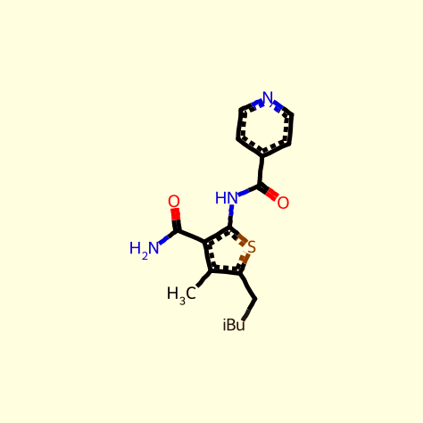 CCC(C)Cc1sc(NC(=O)c2ccncc2)c(C(N)=O)c1C